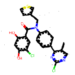 Cc1cnc(Cl)nc1-c1ccc(N(Cc2ccsc2)C(=O)c2cc(Cl)c(O)cc2O)cc1